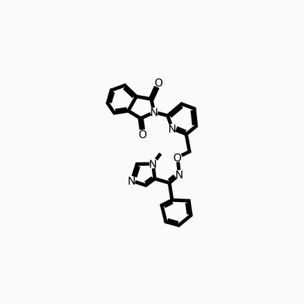 Cn1cncc1C(=NOCc1cccc(N2C(=O)c3ccccc3C2=O)n1)c1ccccc1